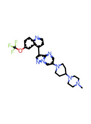 CN1CCN(C2CCN(c3cnc4c(-c5ccnc6ccc(OC(F)(F)F)cc56)cnn4c3)CC2)CC1